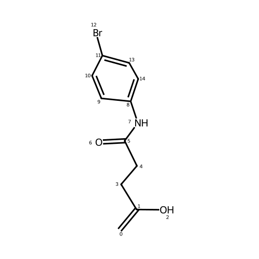 C=C(O)CCC(=O)Nc1ccc(Br)cc1